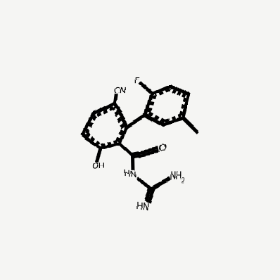 Cc1ccc(F)c(-c2c(C#N)ccc(O)c2C(=O)NC(=N)N)c1